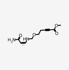 COC(=O)C#CCCOCN/C=C\C(N)=O